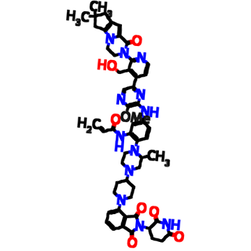 C=CC(=O)Nc1cc(Nc2nc(-c3ccnc(N4CCn5c(cc6c5CC(C)(C)C6)C4=O)c3CO)cnc2OC)ccc1N1CCN(C2CCN(c3cccc4c3C(=O)N(C3CCC(=O)NC3=O)C4=O)CC2)C[C@@H]1C